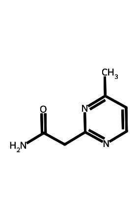 Cc1ccnc(CC(N)=O)n1